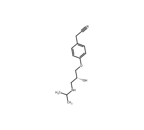 CC(C)NC[C@@H](O)COc1ccc(CC#N)cc1